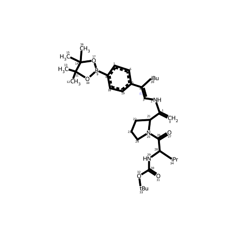 C=C(N/C=C(/c1ccc(B2OC(C)(C)C(C)(C)O2)cc1)C(C)CC)C1CCCN1C(=O)C(NC(=O)OC(C)(C)C)C(C)C